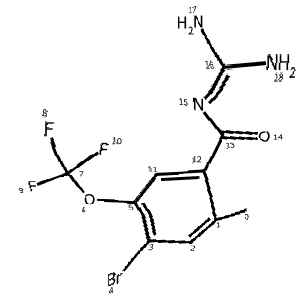 Cc1cc(Br)c(OC(F)(F)F)cc1C(=O)N=C(N)N